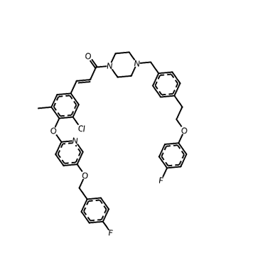 Cc1cc(C=CC(=O)N2CCN(Cc3ccc(CCOc4ccc(F)cc4)cc3)CC2)cc(Cl)c1Oc1ccc(OCc2ccc(F)cc2)cn1